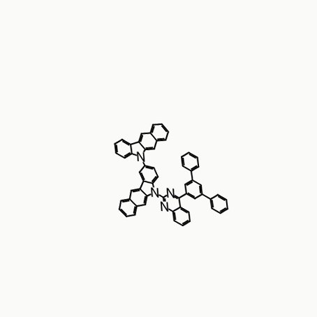 c1ccc(-c2cc(-c3ccccc3)cc(-c3nc(-n4c5ccc(-n6c7ccccc7c7cc8ccccc8cc76)cc5c5cc6ccccc6cc54)nc4ccccc34)c2)cc1